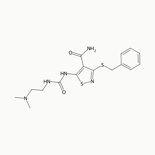 CN(C)CCNC(=O)Nc1snc(SCc2ccccc2)c1C(N)=O